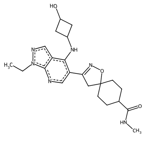 CCn1ncc2c(NC3CC(O)C3)c(C3=NOC4(CCC(C(=O)NC)CC4)C3)cnc21